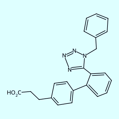 O=C(O)CCc1ccc(-c2ccccc2-c2nnnn2Cc2ccccc2)cc1